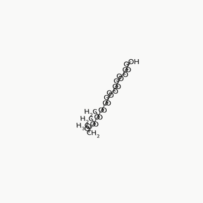 C=CCC(CCCOC(=O)C(CC=C)CCCOC(=O)C(CC=C)CCCOC(=O)CCCCOC(=O)CCC(=O)CCOC(=O)CCC(=O)CCOC(=O)CCC(=O)CCOC(=O)CCC(=O)CCOC(=O)CCC(=O)CCO)C(=O)OC